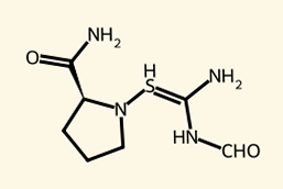 NC(=O)[C@@H]1CCCN1[SH]=C(N)NC=O